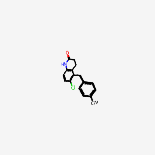 N#Cc1ccc(Cc2c(Cl)ccc3c2CCC(=O)N3)cc1